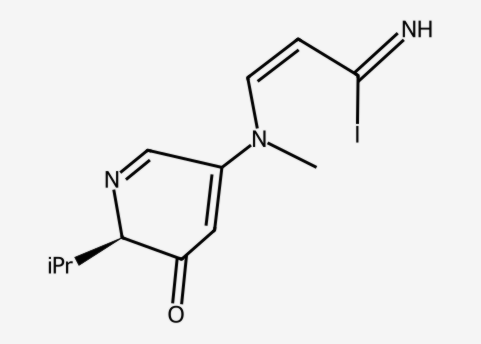 CC(C)[C@H]1N=CC(N(C)/C=C\C(=N)I)=CC1=O